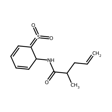 C=CCC(C)C(=O)NC1C=CC=CC1=S(=O)=O